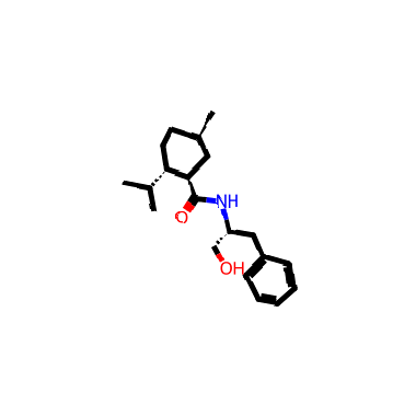 CC(C)[C@@H]1CC[C@@H](C)C[C@H]1C(=O)N[C@@H](CO)Cc1ccccc1